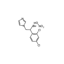 CCC(C)C(Cn1ccnc1)c1ccc(Cl)cc1Cl.O=[N+]([O-])O